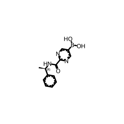 C[C@@H](NC(=O)c1ncc(B(O)O)cn1)c1ccccc1